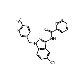 N#Cc1ccc2c(c1)c(NC(=O)c1cccnn1)nn2Cc1ccc(C(F)(F)F)nc1